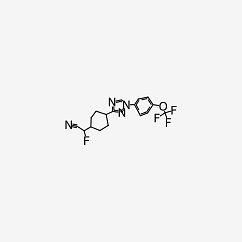 N#CC(F)C1CCC(c2ncn(-c3ccc(OC(F)(F)F)cc3)n2)CC1